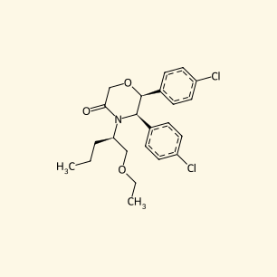 CCC[C@H](COCC)N1C(=O)CO[C@@H](c2ccc(Cl)cc2)[C@H]1c1ccc(Cl)cc1